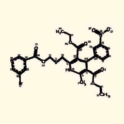 CCOC(=O)C1=C(C)NC(CSCOC(=O)c2cncc(Br)c2)=C(C(=O)OCC)C1c1cccc([N+](=O)[O-])c1